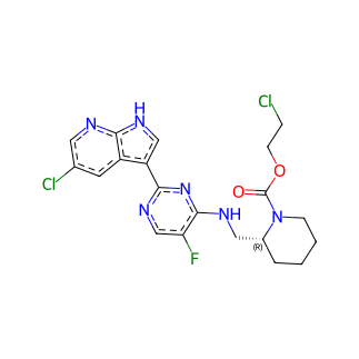 O=C(OCCCl)N1CCCC[C@@H]1CNc1nc(-c2c[nH]c3ncc(Cl)cc23)ncc1F